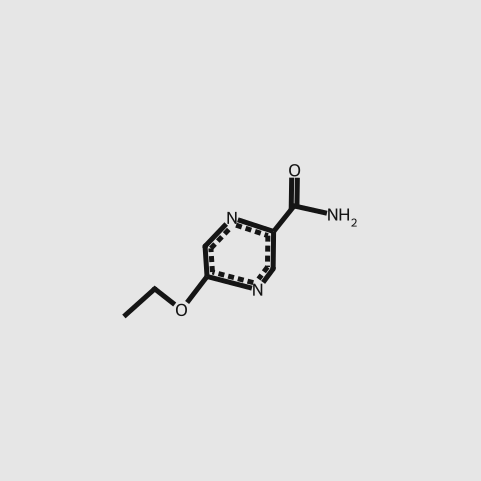 CCOc1cnc(C(N)=O)cn1